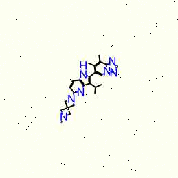 Cc1c(-c2[nH]c3ccc(N4CC5(CN(C)C5)C4)nc3c2C(C)C)cn2ncnc2c1C